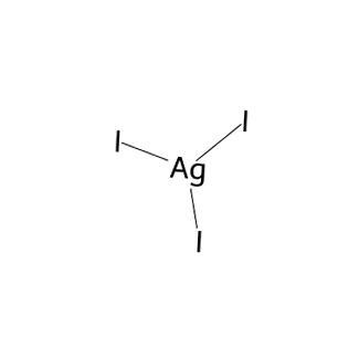 [I][Ag]([I])[I]